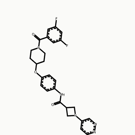 O=C(Nc1ccc(OC2CCN(C(=O)c3cc(F)cc(F)c3)CC2)cc1)C1CN(c2ccnnc2)C1